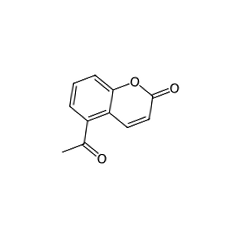 CC(=O)c1cccc2oc(=O)ccc12